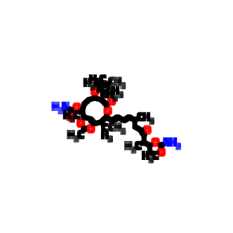 CCC(OC(N)=O)C(C)C1OC1CC(C)/C=C/C=C(\C)C1OC(=O)CC(O[Si](C)(C)C(C)(C)C)CCC(C)(OC(N)=O)C(OC(C)=O)/C=C/C1C